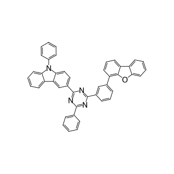 c1ccc(-c2nc(-c3cccc(-c4cccc5c4oc4ccccc45)c3)nc(-c3ccc4c(c3)c3ccccc3n4-c3ccccc3)n2)cc1